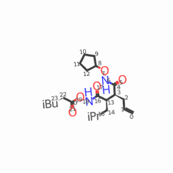 C=CC[C@H](C(=O)NOC1CCCC1)[C@@H](CC(C)C)C(=O)NOC(=O)C[C@@H](C)CC